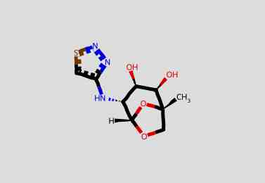 C[C@@]12CO[C@@H](O1)[C@H](Nc1csnn1)[C@@H](O)[C@H]2O